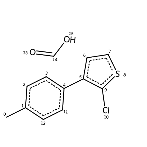 Cc1ccc(-c2ccsc2Cl)cc1.O=CO